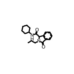 CCCN1C(=O)c2ccccc2C1C(=O)NC1CCCCC1